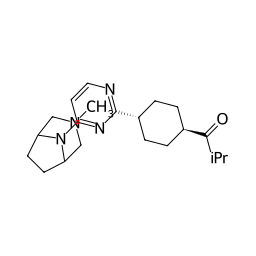 CC(C)C(=O)[C@H]1CC[C@H](c2nccc(N3C4CCC3CN(C)C4)n2)CC1